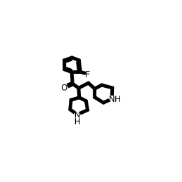 O=C(c1ccccc1F)C(CC1CCNCC1)C1CCNCC1